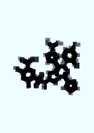 Cc1cc(F)c(C(=O)O)cc1S(=O)(=O)N[C@H]1CC2=C(c3ccn(C(F)F)n3)[C@H](c3ccc(F)cc3Cl)N=C(c3nccs3)N2C1